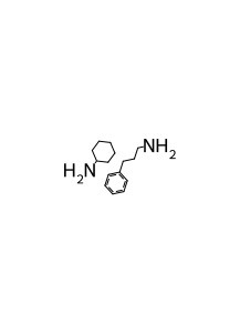 NC1CCCCC1.NCCCc1ccccc1